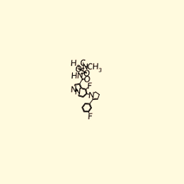 CN(C)S(=O)(=O)NC(=O)c1cnn2ccc(N3CCC=C3c3cccc(F)c3)c(F)c12